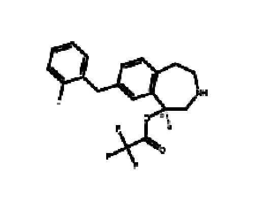 C[C@@]1(OC(=O)C(F)(F)F)CNCCc2ccc(Cc3ccccc3F)cc21